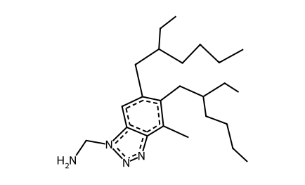 CCCCC(CC)Cc1cc2c(nnn2CN)c(C)c1CC(CC)CCCC